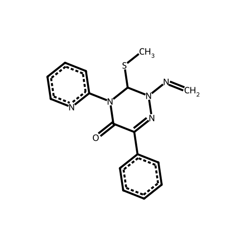 C=NN1N=C(c2ccccc2)C(=O)N(c2ccccn2)C1SC